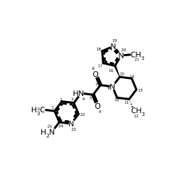 Cc1cc(NC(=O)C(=O)N2C[C@@H](C)CC[C@@H]2c2ccnn2C)cnc1N